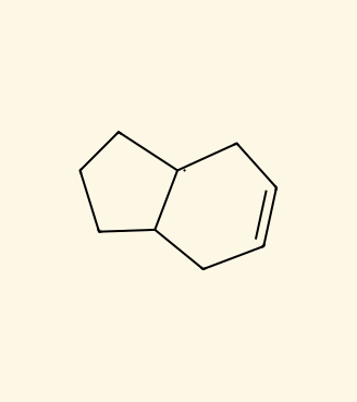 C1=CCC2CCC[C]2C1